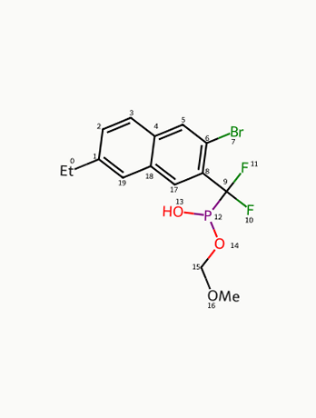 CCc1ccc2cc(Br)c(C(F)(F)P(O)OCOC)cc2c1